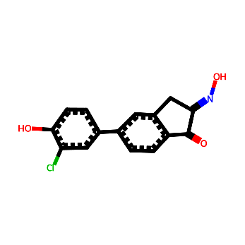 O=C1/C(=N/O)Cc2cc(-c3ccc(O)c(Cl)c3)ccc21